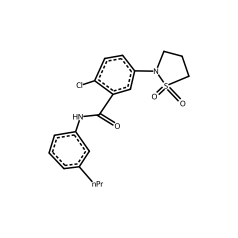 CCCc1cccc(NC(=O)c2cc(N3CCCS3(=O)=O)ccc2Cl)c1